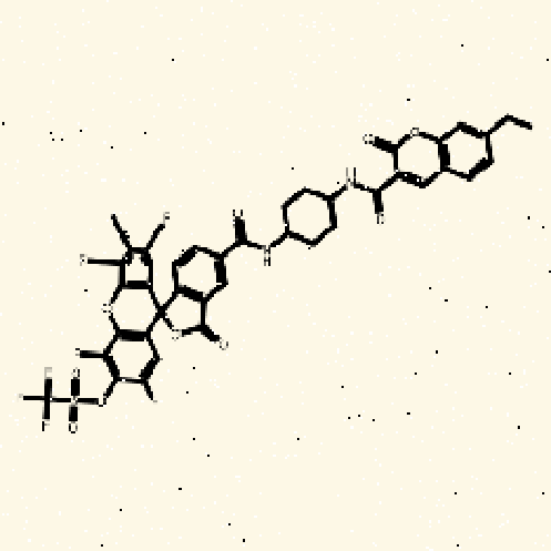 CCc1ccc2cc(C(=O)NC3CCC(NC(=O)c4ccc5c(c4)C(=O)OC54c5cc(F)c(C)c(F)c5Oc5c4cc(F)c(OS(=O)(=O)C(F)(F)F)c5F)CC3)c(=O)oc2c1